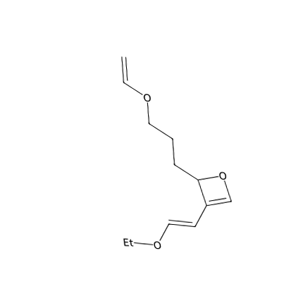 C=COCCCC1OC=C1/C=C/OCC